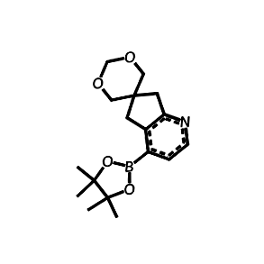 CC1(C)OB(c2ccnc3c2CC2(COCOC2)C3)OC1(C)C